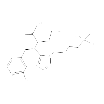 CCCC(C(=O)O)[C@H](Cc1ccnc(Br)c1)c1nnnn1COCC[Si](C)(C)C